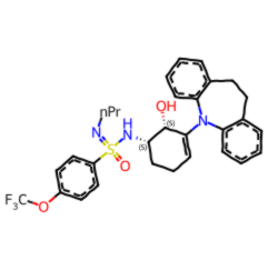 CCCN=S(=O)(N[C@H]1CCC=C(N2c3ccccc3CCc3ccccc32)[C@H]1O)c1ccc(OC(F)(F)F)cc1